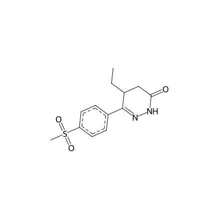 CCC1CC(=O)NN=C1c1ccc(S(C)(=O)=O)cc1